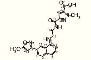 Cc1nc(-c2ccc3ccnc(NCCNC(=O)c4cc(C(=O)O)n(C)n4)c3c2)no1